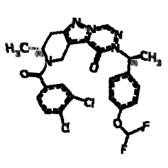 C[C@@H]1Cc2nn3cnn([C@@H](C)c4ccc(OC(F)F)cc4)c(=O)c3c2CN1C(=O)c1ccc(Cl)c(Cl)c1